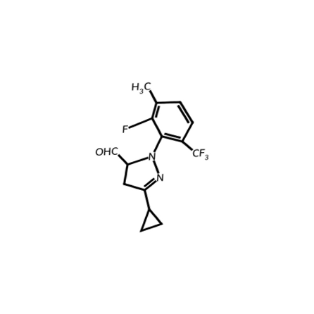 Cc1ccc(C(F)(F)F)c(N2N=C(C3CC3)CC2C=O)c1F